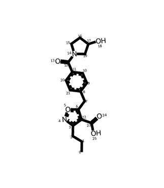 CCCc1noc(Cc2ccc(C(=O)N3CCC(O)C3)cc2)c1C(=O)O